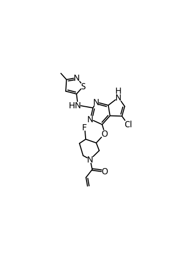 C=CC(=O)N1CCC(F)C(Oc2nc(Nc3cc(C)ns3)nc3[nH]cc(Cl)c23)C1